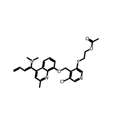 C=C/C=C(/c1cc(C)nc2c(OCc3c(Cl)cncc3SCCOC(C)=O)cccc12)N(C)C